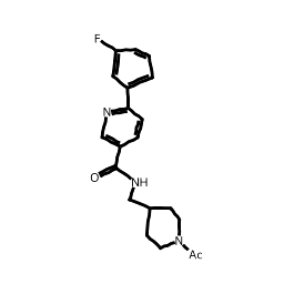 CC(=O)N1CCC(CNC(=O)c2ccc(-c3cccc(F)c3)nc2)CC1